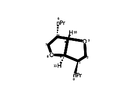 CCC[C@@H]1CO[C@@H]2[C@@H](CCC)CO[C@H]12